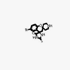 O=C1NC(=S)NC12CC1(CCNCC1)Oc1ccc(Br)cc12